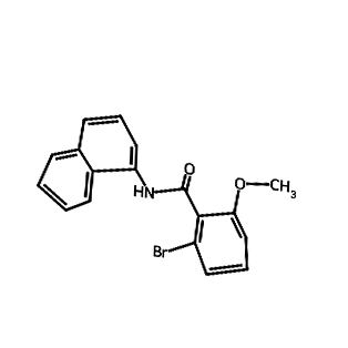 COc1cccc(Br)c1C(=O)Nc1cccc2ccccc12